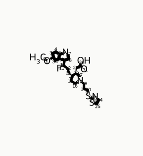 COc1ccc2nccc([C@@H](F)CC[C@@H]3CCN(CCCSc4nccs4)C[C@@H]3CC(=O)O)c2c1